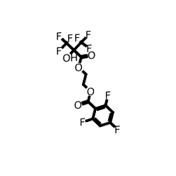 O=C(OCCOC(=O)C(O)(C(F)(F)F)C(F)(F)F)c1c(F)cc(F)cc1F